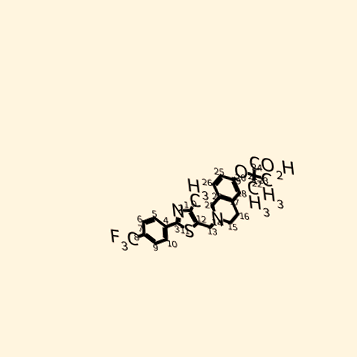 Cc1nc(-c2ccc(C(F)(F)F)cc2)sc1CN1CCc2cc(OC(C)(C)C(=O)O)ccc2C1